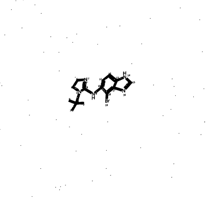 CC(C)(C)N1CCN=C1Nc1ccc2[nH]cnc2c1Br